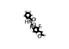 CC(=O)Cc1ccc2nc(NC(=O)c3ccccc3)oc2c1F